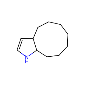 C1=CC2CCCCCCCC2N1